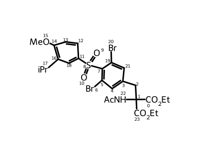 CCOC(=O)C(Cc1cc(Br)c(S(=O)(=O)c2ccc(OC)c(C(C)C)c2)c(Br)c1)(NC(C)=O)C(=O)OCC